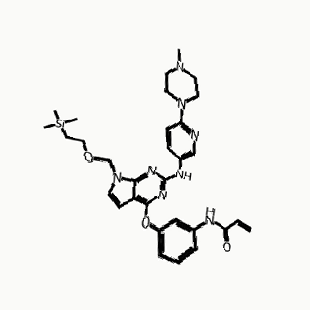 C=CC(=O)Nc1cccc(Oc2nc(Nc3ccc(N4CCN(C)CC4)nc3)nc3c2ccn3COCC[Si](C)(C)C)c1